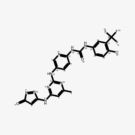 Cc1cc(NC2=CC(=O)N=N2)nc(Nc2ccc(NC(=O)Nc3ccc(Cl)c(C(F)(F)F)c3)nc2)n1